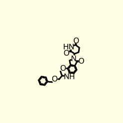 O=C1CCC(N2Cc3c(ccc4c3OCC(COCc3ccccc3)N4)C2=O)C(=O)N1